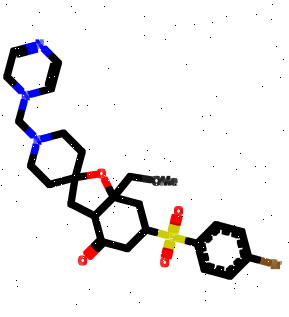 COCC12CC(S(=O)(=O)c3ccc(Br)cc3)CC(=O)C1CC1(CCN(CN3C=CN=CC3)CC1)O2